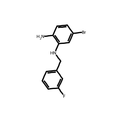 Nc1ccc(Br)cc1NCc1cccc(F)c1